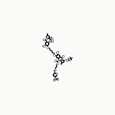 C=C1C[C@@H](CO[Si](C)(C)C(C)(C)C)N(C(=O)c2cc(OC)c(OCCCCCOc3cc4c(cc3OC)C(=O)N3CC(=C)C[C@H]3C(=O)N4)cc2NC(=O)OCCCSSc2ccc([N+](=O)[O-])cn2)C1